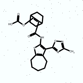 Cc1noc(-c2c(NC(=O)C3=C(OC(=O)O)C4CCC3CC4)sc3c2CCCCC3)n1